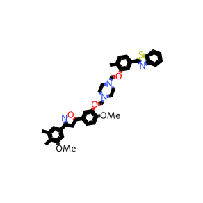 COc1ccc(C2CC(c3cc(C)c(C)c(OC)c3)=NO2)cc1OCN1CCN(COc2cc(-c3nc4ccccc4s3)ccc2C)CC1